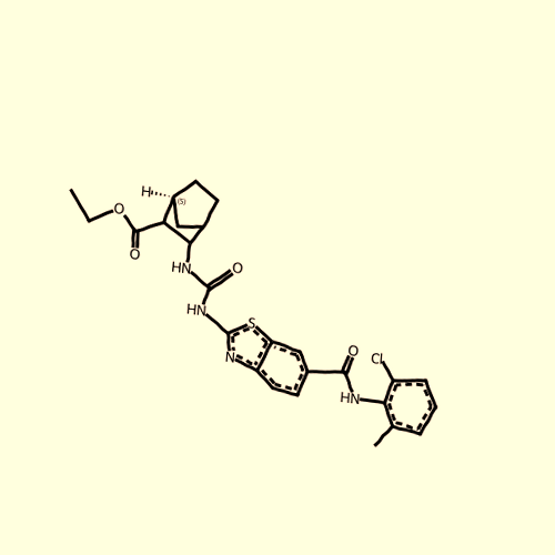 CCOC(=O)C1C(NC(=O)Nc2nc3ccc(C(=O)Nc4c(C)cccc4Cl)cc3s2)C2CC[C@H]1C2